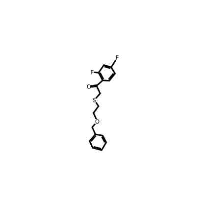 O=C(CSCCOCc1ccccc1)c1ccc(F)cc1F